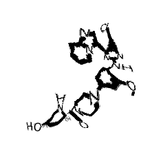 COc1cc(N2CCN(C(=O)[C@@H]3C[C@@H](O)CN3)CC2)ccc1Nc1ncc(Cl)c(-c2cnc3ccccn23)n1